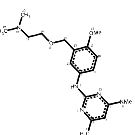 CNc1cc(C)nc(Nc2ccc(OC)c(COCCN(C)C)c2)n1